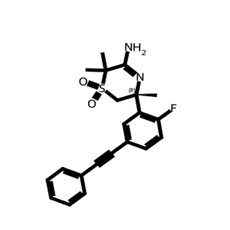 CC1(C)C(N)=N[C@](C)(c2cc(C#Cc3ccccc3)ccc2F)CS1(=O)=O